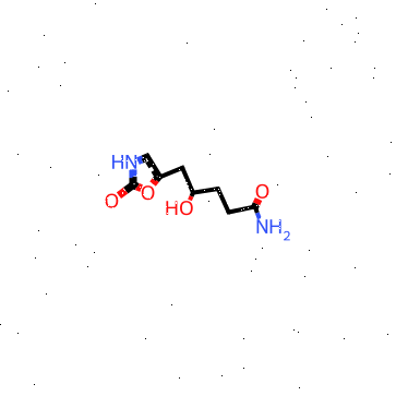 NC(=O)CCC(O)Cc1c[nH]c(=O)o1